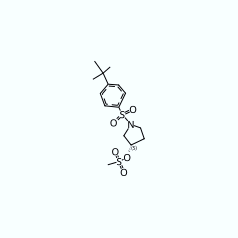 CC(C)(C)c1ccc(S(=O)(=O)N2CC[C@H](OS(C)(=O)=O)C2)cc1